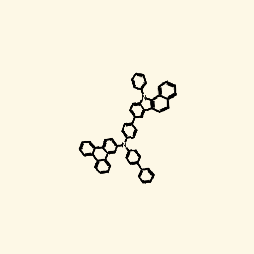 c1ccc(-c2ccc(N(c3ccc(-c4ccc5c(c4)c4ccc6ccccc6c4n5-c4ccccc4)cc3)c3ccc4c5ccccc5c5ccccc5c4c3)cc2)cc1